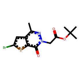 Cc1nn(CC(=O)OC(C)(C)C)c(=O)c2sc(Br)cc12